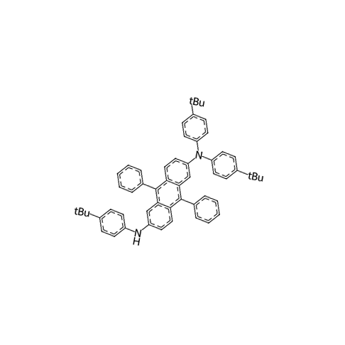 CC(C)(C)c1ccc(Nc2ccc3c(-c4ccccc4)c4cc(N(c5ccc(C(C)(C)C)cc5)c5ccc(C(C)(C)C)cc5)ccc4c(-c4ccccc4)c3c2)cc1